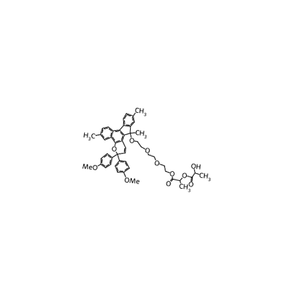 COc1ccc(C2(c3ccc(OC)cc3)C=Cc3c4c(c5ccc(C)cc5c3O2)-c2ccc(C)cc2C4(C)OCCOCCOCCOC(=O)C(C)OC(=O)C(C)O)cc1